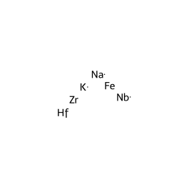 [Fe].[Hf].[K].[Na].[Nb].[Zr]